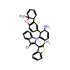 CCc1c(-c2c(C)sc3ccccc23)n(C2=CC=CC(N)C2c2ccc3c(c2)C2C=CC=CC2(C)O3)c2ccccc12